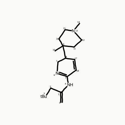 C=C(CC(C)(C)C)NC1=NCC(C2(C)CCN(C)CC2)C=C1